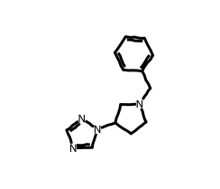 c1ccc(CN2CCC(n3cncn3)C2)cc1